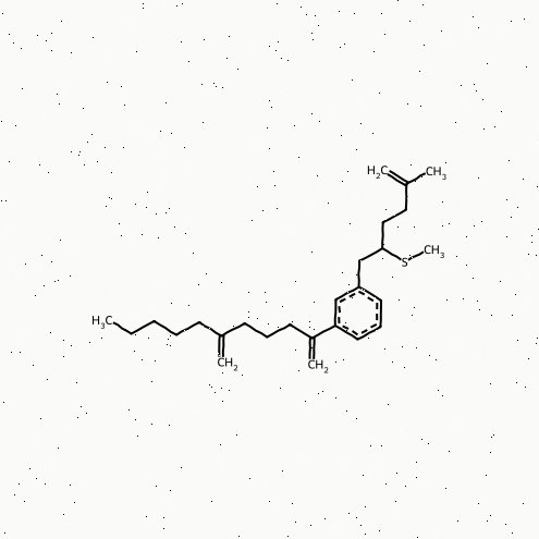 C=C(C)CCC(Cc1cccc(C(=C)CCCC(=C)CCCCC)c1)SC